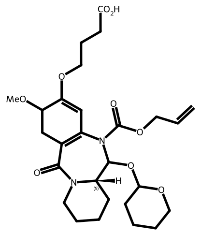 C=CCOC(=O)N1C2=C(CC(OC)C(OCCCC(=O)O)=C2)C(=O)N2CCCC[C@H]2C1OC1CCCCO1